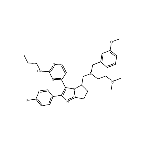 CCCNc1nccc(-c2c(-c3ccc(F)cc3)nc3n2C(CN(CCN(C)C)Cc2cccc(OC)c2)CC3)n1